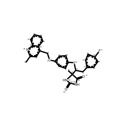 Cc1cc(COc2ccc(SC(Cc3ccc(F)cc3)C3(C)NC(=O)NC3=O)cc2)c2ccccc2n1